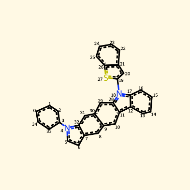 c1ccc(-n2ccc3cc4cc5c6ccccc6n(-c6cc7ccccc7s6)c5cc4cc32)cc1